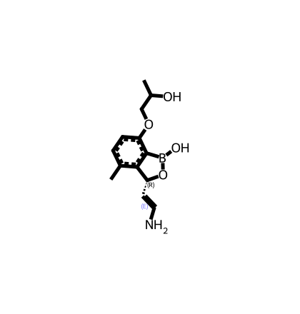 Cc1ccc(OCC(C)O)c2c1[C@@H](/C=C/N)OB2O